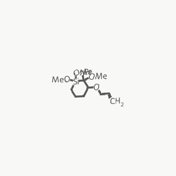 C=CCOC1CCC[Si](OC)(OC)C1(CCC)OC